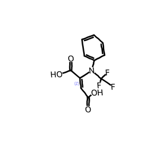 O=C(O)/C=C(/C(=O)O)N(c1ccccc1)C(F)(F)F